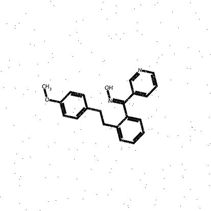 COc1ccc(CCc2ccccc2C(=NO)c2cccnc2)cc1